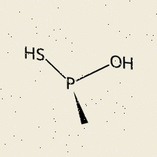 C[P@](O)S